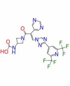 O=C(O)NC1CN(C(=O)/C(=C/n2cnc(-c3cc(C(F)(F)F)nc(C(F)(F)F)c3)n2)c2cncnc2)C1